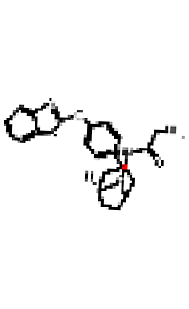 NCC(=O)N[C@H]1CC2CC[C@@H](C1)N2Cc1ccc(Oc2nc3ccccc3s2)cc1